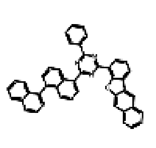 c1ccc(-c2nc(-c3cccc4c(-c5cccc6ccccc56)cccc34)nc(-c3cccc4c3oc3cc5ccccc5cc34)n2)cc1